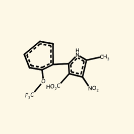 Cc1[nH]c(-c2ccccc2OC(F)(F)F)c(C(=O)O)c1[N+](=O)[O-]